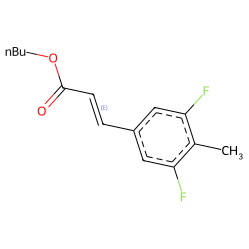 CCCCOC(=O)/C=C/c1cc(F)c(C)c(F)c1